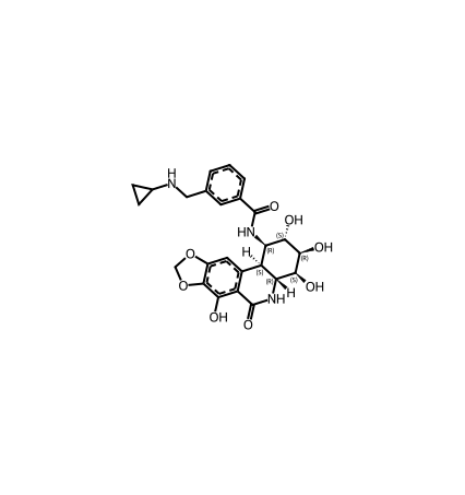 O=C(N[C@H]1[C@H](O)[C@@H](O)[C@@H](O)[C@@H]2NC(=O)c3c(cc4c(c3O)OCO4)[C@@H]12)c1cccc(CNC2CC2)c1